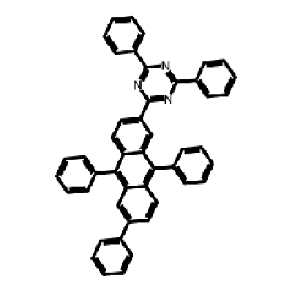 c1ccc(-c2ccc3c(-c4ccccc4)c4cc(-c5nc(-c6ccccc6)nc(-c6ccccc6)n5)ccc4c(-c4ccccc4)c3c2)cc1